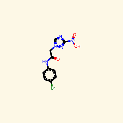 O=C(Cn1cnc([N+](=O)O)n1)Nc1ccc(Br)cc1